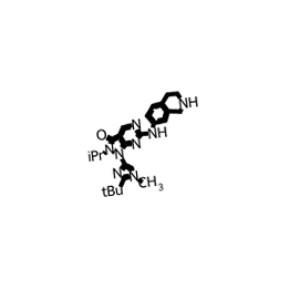 CC(C)n1c(=O)c2cnc(Nc3ccc4c(c3)CNCC4)nc2n1-c1cn(C)c(C(C)(C)C)n1